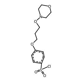 O=S(=O)(Cl)c1ccc(OCCCON2CCOCC2)cc1